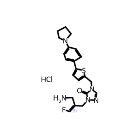 Cl.NC/C(=C\F)Cn1ncn(Cc2ccc(-c3ccc(N4CCCC4)cc3)s2)c1=O